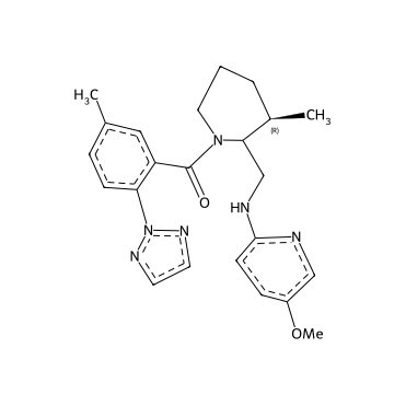 COc1ccc(NCC2[C@H](C)CCCN2C(=O)c2cc(C)ccc2-n2nccn2)nc1